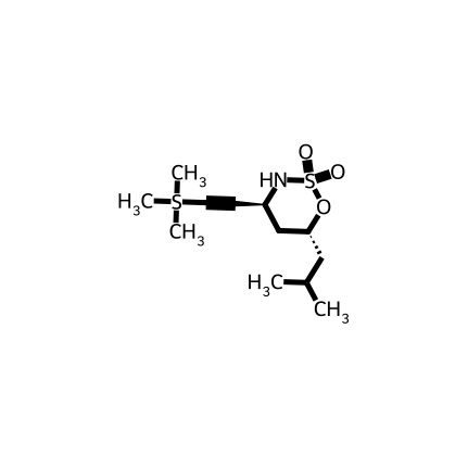 CC(C)C[C@@H]1C[C@@H](C#CS(C)(C)C)NS(=O)(=O)O1